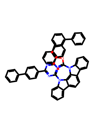 c1ccc(-c2ccc(-c3nc(-c4ccccc4)nc(-n4c5ccccc5c5ccc6c7ccccc7n(-c7nc8cccc(-c9cccc(-c%10ccccc%10)c9)c8o7)c6c54)n3)cc2)cc1